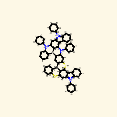 c1ccc(N2c3ccccc3B3c4cc5c(cc4N(c4ccccc4)c4c3c2cc2c4c3ccccc3n2-c2ccccc2)Sc2c3c(cc4c2c2ccccc2n4-c2ccccc2)Sc2ccccc2B53)cc1